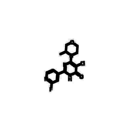 CC1COCCN1c1nc(-c2ccnc(F)c2)[nH]c(=O)c1Cl